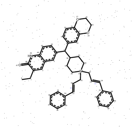 CCc1cc2cc(C(c3ccc4c(c3)OCCO4)C3CC[N+](C/C=C/c4ccccc4)(C/C=C/c4ccccc4)CC3)ccc2[nH]c1=O